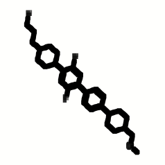 COCC1CCC(c2ccc(-c3cc(F)c(C4CCC(CCCF)CC4)cc3F)cc2)CC1